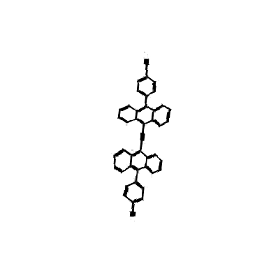 N#Cc1ccc(-c2c3ccccc3c(C#Cc3c4ccccc4c(-c4ccc(C#N)cc4)c4ccccc34)c3ccccc23)cc1